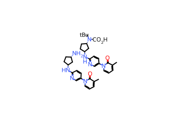 Cc1cccn(-c2ccc(N[C@H]3CC[C@H](N(C(=O)O)C(C)(C)C)C3)nc2)c1=O.Cc1cccn(-c2ccc(N[C@H]3CC[C@H](N)C3)nc2)c1=O